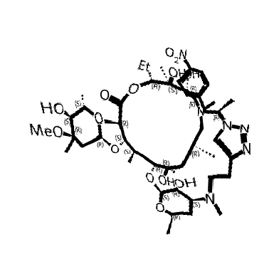 CC[C@H]1OC(=O)[C@H](C)[C@@H](O[C@H]2C[C@@](C)(OC)[C@@H](O)[C@H](C)O2)[C@H](C)[C@@H](O[C@@H]2O[C@H](C)C[C@H](N(C)CCc3cn([C@H](C)Cc4ccc([N+](=O)[O-])cc4)nn3)[C@H]2O)[C@](C)(O)C[C@@H](C)CN(C)[C@H](C)[C@@H](O)[C@]1(C)O